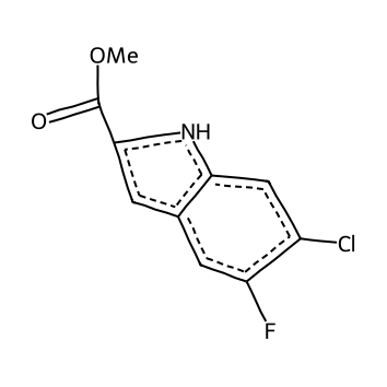 COC(=O)c1cc2cc(F)c(Cl)cc2[nH]1